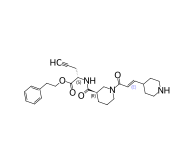 C#CC[C@H](NC(=O)[C@@H]1CCCN(C(=O)/C=C/C2CCNCC2)C1)C(=O)OCCc1ccccc1